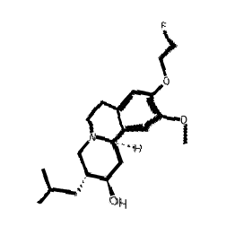 COc1cc2c(cc1OCCF)CCN1C[C@@H](CC(C)C)[C@H](O)C[C@H]21